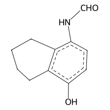 O=CNc1ccc(O)c2c1CCCC2